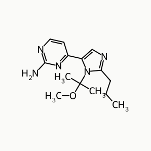 CCCc1ncc(-c2ccnc(N)n2)n1C(C)(C)OC